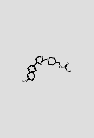 O=C(CF)NCC1CCN(c2nccc(-c3ccc4cc(O)ccc4c3)n2)CC1